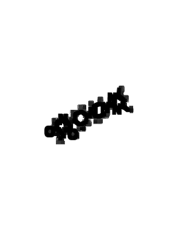 Cc1cc(C)nc(N2CCN([C@H]3CC[C@H](n4ncc(=O)n(C)c4=O)CC3)CC2)n1